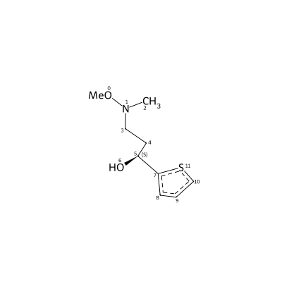 CON(C)CC[C@H](O)c1cccs1